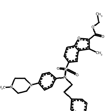 CCOC(=O)c1oc2ccc(S(=O)(=O)N(CCc3ccccc3)c3ccc(N4CCN(C)CC4)cc3)cc2c1C